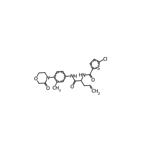 C=CCC(NC(=O)c1ccc(Cl)s1)C(=O)Nc1ccc(N2CCOCC2=O)c(C)c1